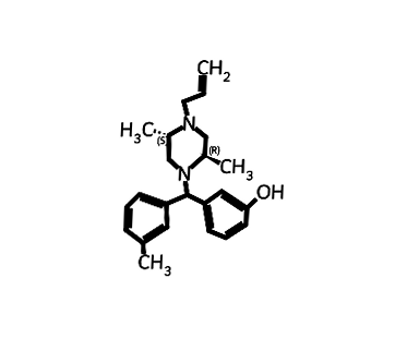 C=CCN1C[C@@H](C)N(C(c2cccc(C)c2)c2cccc(O)c2)C[C@@H]1C